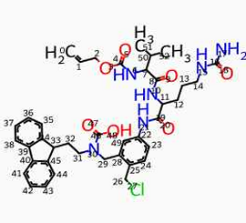 C=CCOC(=O)NC(C(=O)NC(CCCNC(N)=O)C(=O)Nc1ccc(CCl)c(CN(CCC2c3ccccc3-c3ccccc32)C(=O)O)c1)C(C)C